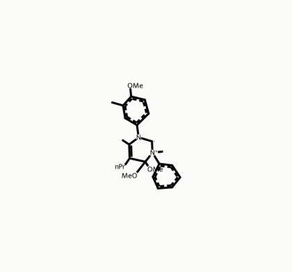 CCCC1=C(C)N(c2ccc(OC)c(C)c2)[CH][N+](C)(c2ccccc2)C1(OC)OC